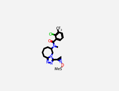 CSON1C=C1c1nnc2n1CC(N(C)C(=O)c1cccc(C(F)(F)F)c1Cl)CCCC2